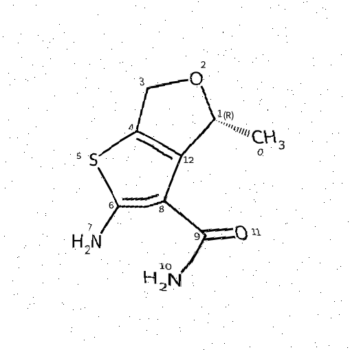 C[C@H]1OCc2sc(N)c(C(N)=O)c21